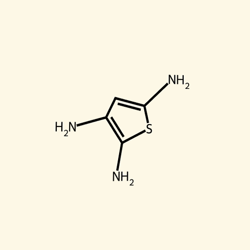 Nc1cc(N)c(N)s1